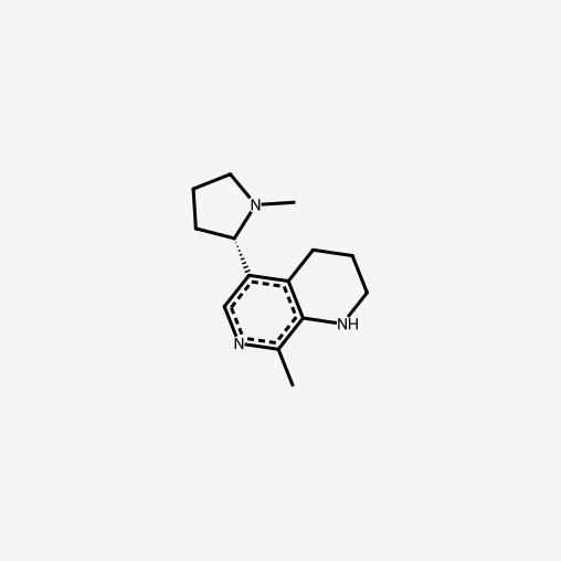 Cc1ncc([C@@H]2CCCN2C)c2c1NCCC2